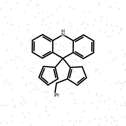 CC(C)CC1=C(C2(C3=CC=C=C3)c3ccccc3Nc3ccccc32)CC=C1